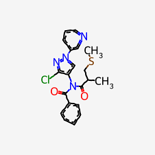 CSCC(C)C(=O)N(C(=O)c1ccccc1)c1cn(-c2cccnc2)nc1Cl